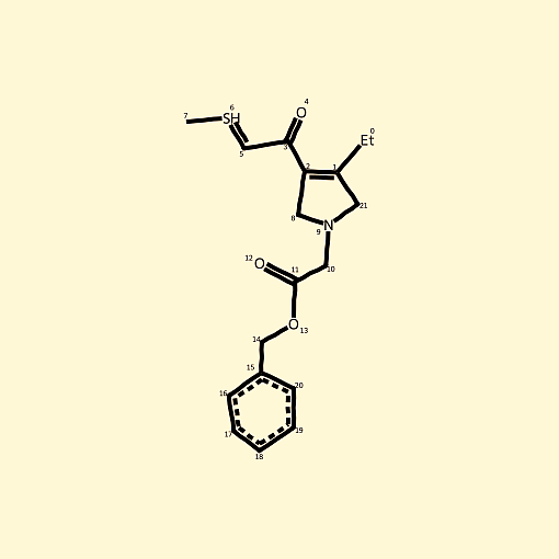 CCC1=C(C(=O)/C=[SH]/C)CN(CC(=O)OCc2ccccc2)C1